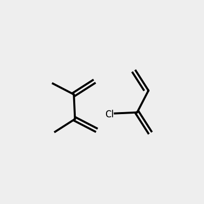 C=C(C)C(=C)C.C=CC(=C)Cl